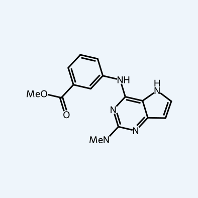 CNc1nc(Nc2cccc(C(=O)OC)c2)c2[nH]ccc2n1